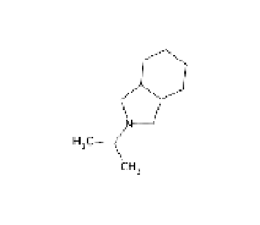 CC(C)N1CC2CCCCC2C1